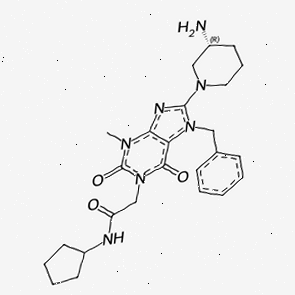 Cn1c(=O)n(CC(=O)NC2CCCC2)c(=O)c2c1nc(N1CCC[C@@H](N)C1)n2Cc1ccccc1